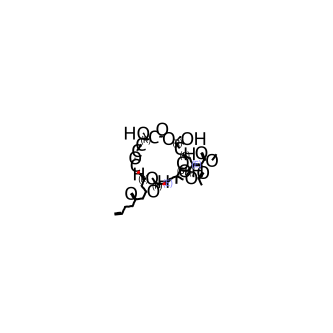 C=CCCC(=O)CC1C[C@H]2CCOCC[C@@H](O)CC(=O)O[C@@H](CO)C[C@@H]3C/C(=C\C(=O)OC)[C@H](OC(C)=O)[C@@](O)(O3)C(C)(C)/C=C/[C@@H](O1)O2